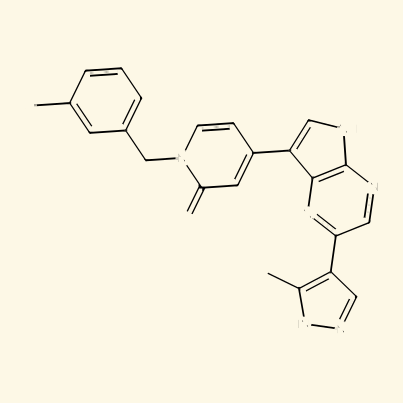 Cc1[nH]ncc1-c1cnc2[nH]cc(-c3ccn(Cc4cccc(Cl)c4)c(=O)c3)c2n1